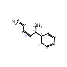 BC(/C=C\C=C)C1C=CC=CC1